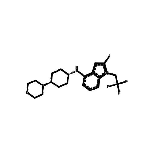 FC(F)(F)Cn1c(I)cc2c(N[C@H]3CC[C@H](N4CCOCC4)CC3)cccc21